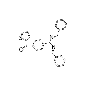 C(=NC(N=Cc1ccccc1)c1ccccc1)c1ccccc1.O=Cc1cccs1